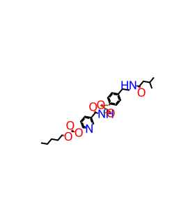 CCCCCOC(=O)Oc1ccc(C(=O)NS(=O)(=O)c2ccc(CCNC(=O)CC(C)C)cc2)cn1